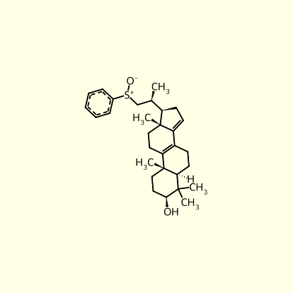 C[C@H](C[S+]([O-])c1ccccc1)[C@H]1CC=C2C3=C(CC[C@@]21C)[C@@]1(C)CC[C@H](O)C(C)(C)[C@@H]1CC3